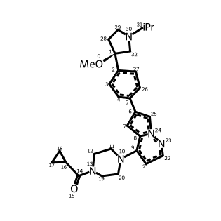 CO[C@@]1(c2ccc(-c3cc4c(N5CCN(C(=O)C6CC6)CC5)ccnn4c3)cc2)CCN(C(C)C)C1